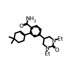 CCN1CC(c2ccc(C(N)=O)c(C3=CCC(C)(C)CC3)c2)CN(CC)C1=O